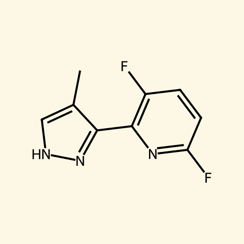 Cc1c[nH]nc1-c1nc(F)ccc1F